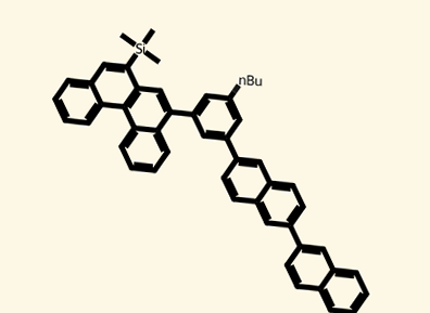 CCCCc1cc(-c2ccc3cc(-c4ccc5ccccc5c4)ccc3c2)cc(-c2cc3c([Si](C)(C)C)cc4ccccc4c3c3ccccc23)c1